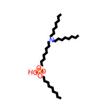 CCCCCCCCCOP(=O)(O)OCCCCCCCCN(CCCCCCCC)CCCCCCCC